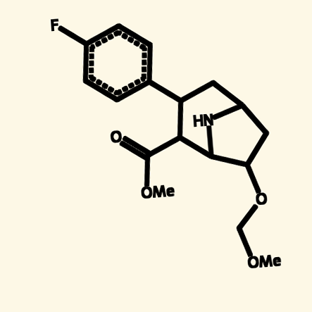 COCOC1CC2CC(c3ccc(F)cc3)C(C(=O)OC)C1N2